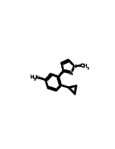 Cn1ccc(-c2cc(N)ccc2C2CC2)n1